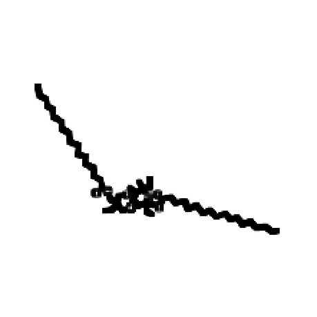 CCCCCCCCCCCCCCCCCC(=O)OCC1(CC)COC2(CC(C)(CC)N(OC(=O)CCCCCCCCCCCCCCCCC)C(C)(CC)C2C)OC1